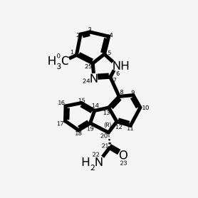 Cc1cccc2[nH]c(-c3cccc4c3-c3ccccc3[C@H]4C(N)=O)nc12